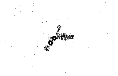 CC1(C)OB(c2ccc(-c3cc4nc(O[C@@H]5CO[C@@H]6C(O[Si](C)(C)C(C)(C)C)CO[C@@H]65)n(COCC[Si](C)(C)C)c4cc3Cl)cc2)OC1(C)C